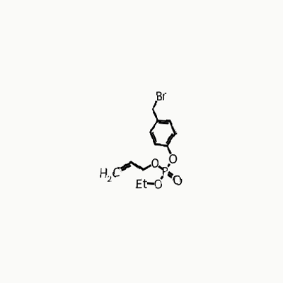 C=CCOP(=O)(OCC)Oc1ccc(CBr)cc1